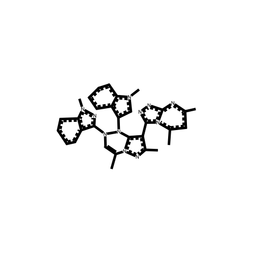 CC1=[C]N(c2nn(C)c3ccccc23)N(c2cn(C)c3ccccc23)c2c(-c3nnc4nc(C)cc(C)n34)c(C)nn21